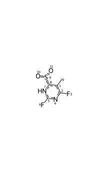 Cc1c(F)nc(F)[nH]c1=S(=O)=O